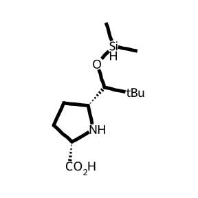 C[SiH](C)OC([C@H]1CC[C@@H](C(=O)O)N1)C(C)(C)C